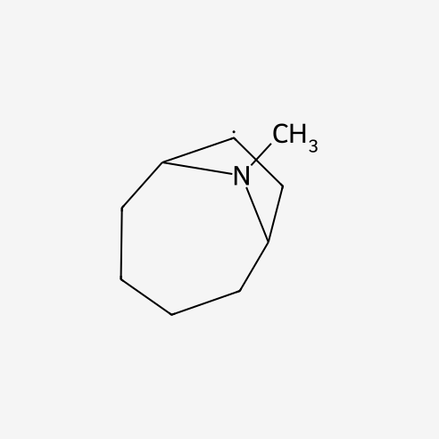 CN1C2[CH]CC1CCCC2